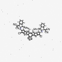 CC(C)Cn1c2c3sc(/C=C4\C(=O)c5ccccc5C4=C(C#N)C#N)c(Cl)c3sc2c2c3nsnc3c3c4sc5c(Cl)c(/C=C6\C(=O)c7ccccc7C6=C(C#N)C#N)sc5c4n(CC(C)C)c3c21